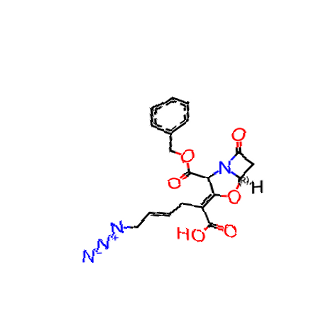 [N-]=[N+]=NCC=CCC(C(=O)O)=C1O[C@@H]2CC(=O)N2C1C(=O)OCc1ccccc1